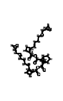 O=C(OC(=O)C1=C(C(=O)OC(=O)C2=C(CCCCOCC3CO3)CC2)C2CCC1C2)C1=C(CCCCOCC2CO2)CC1